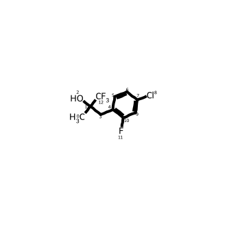 CC(O)(Cc1ccc(Cl)cc1F)C(F)(F)F